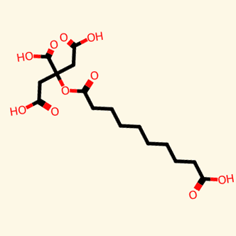 O=C(O)CCCCCCCCC(=O)OC(CC(=O)O)(CC(=O)O)C(=O)O